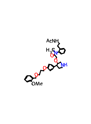 COc1ccccc1COCCCOc1ccc(C2CCNCC2OCC(=O)N(C)c2ccccc2CCNC(C)=O)cc1